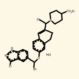 CCOC(=O)C1CCN(C(Cl)C2=Cc3ccc(OC(c4ccc5[nH]nc(Cl)c5c4)C(C)C)cc3CC2)CC1.Cl